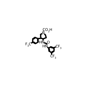 O=C(Nc1cc(C(F)(F)F)cc(C(F)(F)F)c1)NC1CCN(C(=O)O)CC1c1ccc(C(F)(F)F)cc1